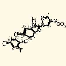 O=C(O)Oc1cnn(-c2nc3cc(Oc4ccc(Cl)cc4F)c(Cl)cc3[nH]2)c1